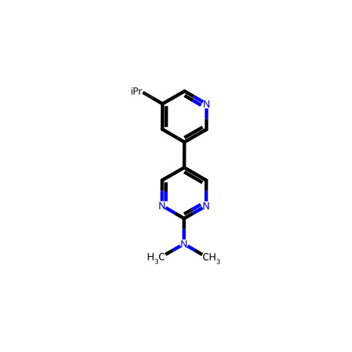 CC(C)c1cncc(-c2cnc(N(C)C)nc2)c1